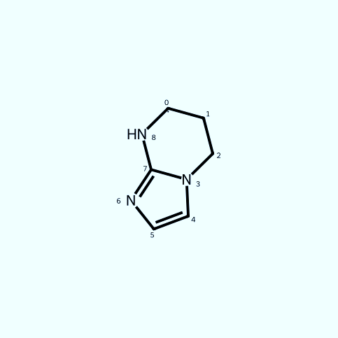 [CH]1CCn2ccnc2N1